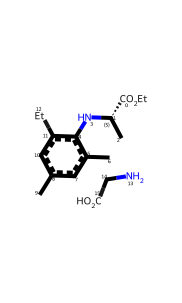 CCOC(=O)[C@H](C)Nc1c(C)cc(C)cc1CC.NCC(=O)O